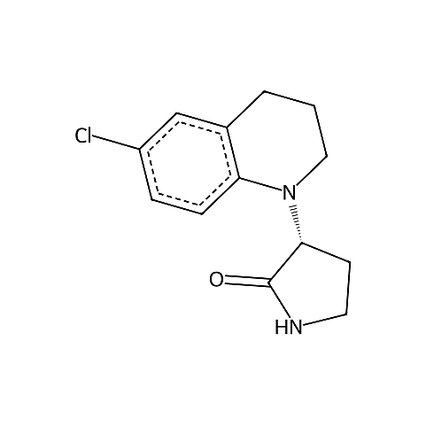 O=C1NCC[C@H]1N1CCCc2cc(Cl)ccc21